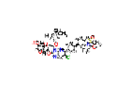 C[Si](C)(C)CCOCn1c(O[C@@H]2CO[C@H]3[C@@H]2OC[C@H]3O)nc2cc(Cl)c(-c3ccc(-c4ccc(CS(C)(=O)=NC(=O)C(F)(F)F)cc4)cc3)nc21